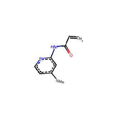 C=CC(=O)Nc1cc(NC)ccn1